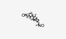 Cc1cc(OCC[C@@H](C)N=O)nc(C)c1-c1cccc(CN=O)c1C